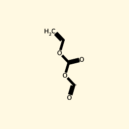 C=COC(=O)O[C]=O